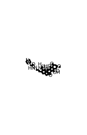 COC1=CC(=O)c2c(O)c3c(c(O)c2C1=O)C(=O)C1(CCc2cc4cc(/C=N/NC(=O)CN5CCN(C)CC5)[nH]c(=O)c4c(O)c21)C3=O